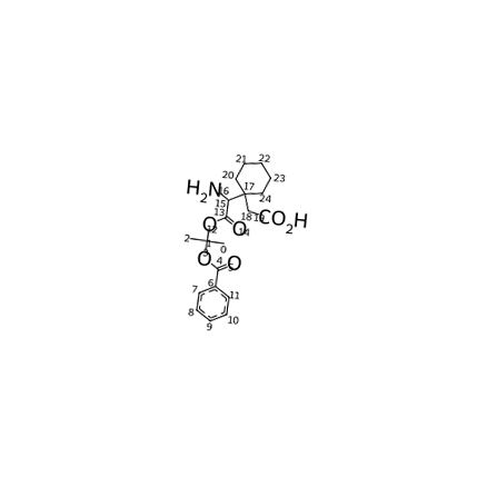 CC(C)(OC(=O)c1ccccc1)OC(=O)C(N)C1(CC(=O)O)CCCCC1